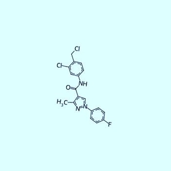 Cc1nn(-c2ccc(F)cc2)cc1C(=O)Nc1ccc(CCl)c(Cl)c1